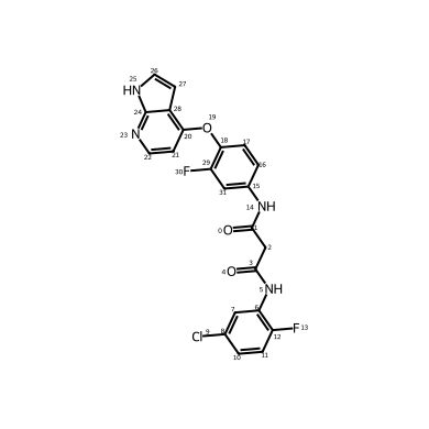 O=C(CC(=O)Nc1cc(Cl)ccc1F)Nc1ccc(Oc2ccnc3[nH]ccc23)c(F)c1